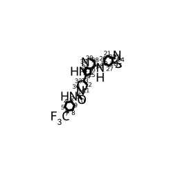 O=C(Nc1ccc(C(F)(F)F)cc1)N1CC=C(c2cc3c(Nc4ccc5ncsc5c4)ccnc3[nH]2)CC1